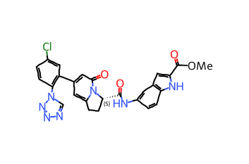 COC(=O)c1cc2cc(NC(=O)[C@@H]3CCc4cc(-c5cc(Cl)ccc5-n5cnnn5)cc(=O)n43)ccc2[nH]1